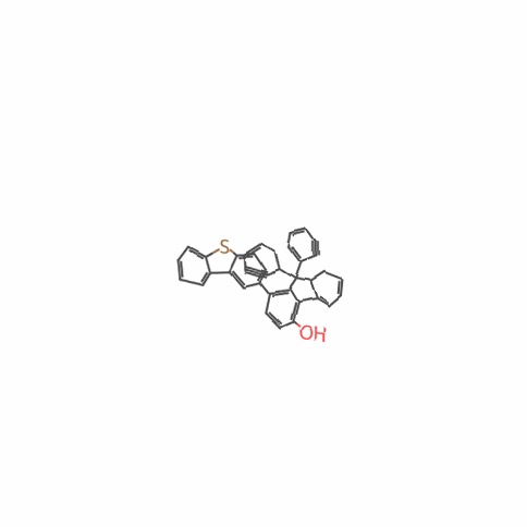 Oc1ccc(-c2ccc3sc4ccccc4c3c2)c2c1C1=CC=CCC1C2(c1c#cccc1)C1C#CC=CC1